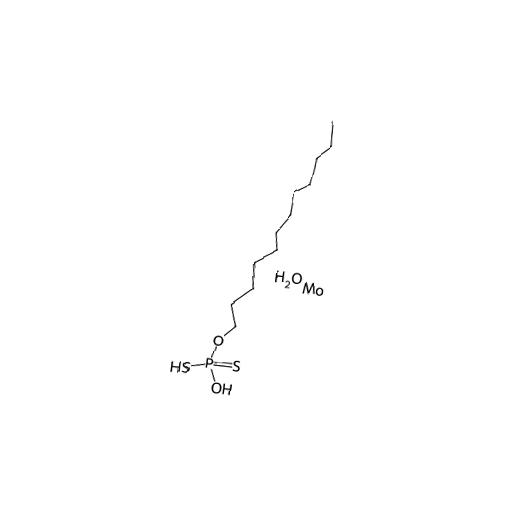 CCCCCCCCCCCCOP(O)(=S)S.O.[Mo]